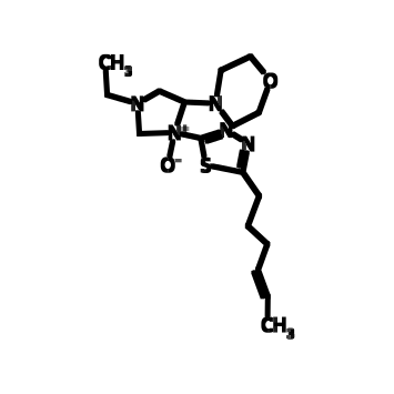 CC=CCCCc1nnc([N+]2([O-])CN(CC)CC2N2CCOCC2)s1